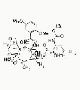 COc1ccc(OC)c(C(=O)O[C@H]2[C@@H]3[C@]4(OC(C)=O)CO[C@@H]4C[C@@H](O)[C@@]3(C)C(=O)[C@@H](C)C3=C(C)[C@@H](OC(=O)[C@H](O)[C@H](C=C(C)C)NC(=O)OC(C)(C)C)C[C@]2(O)C3(C)C)c1